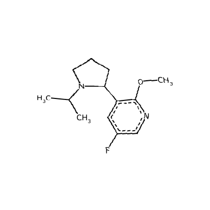 COc1ncc(F)cc1C1CCCN1C(C)C